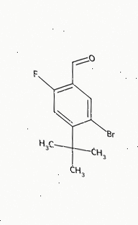 CC(C)(C)c1cc(F)c(C=O)cc1Br